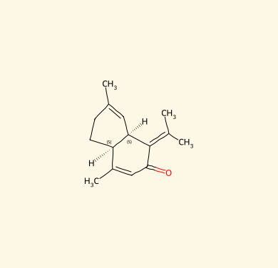 CC1=C[C@H]2C(=C(C)C)C(=O)C=C(C)[C@H]2CC1